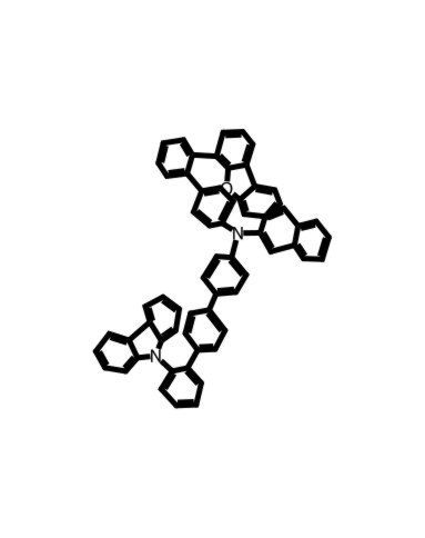 c1ccc(-c2cccc3c2oc2ccccc23)c(-c2ccc(N(c3ccc(-c4ccc(-c5ccccc5-n5c6ccccc6c6ccccc65)cc4)cc3)c3ccc4ccccc4c3)cc2)c1